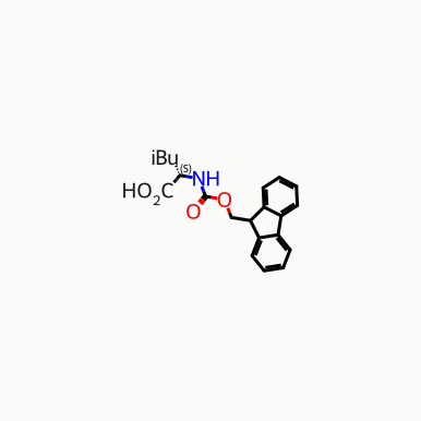 CCC(C)[C@H](NC(=O)OCC1c2ccccc2-c2ccccc21)C(=O)O